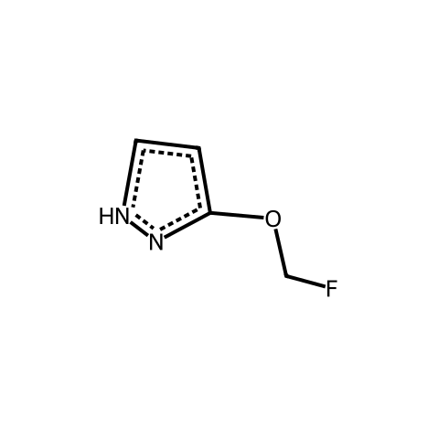 FCOc1cc[nH]n1